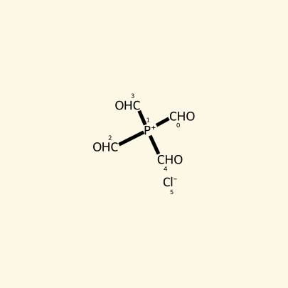 O=C[P+](C=O)(C=O)C=O.[Cl-]